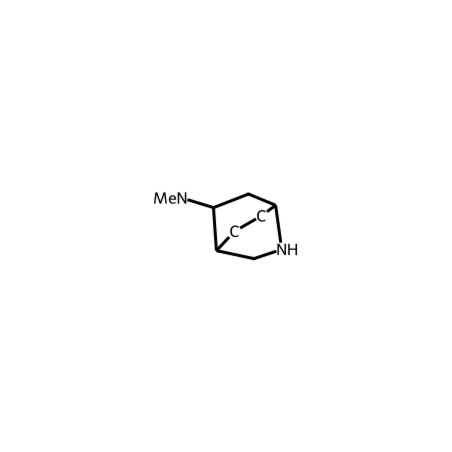 CNC1CC2CCC1CN2